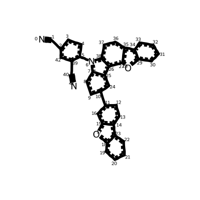 N#Cc1ccc(-n2c3ccc(-c4ccc5c(c4)oc4ccccc45)cc3c3c4oc5ccccc5c4ccc32)c(C#N)c1